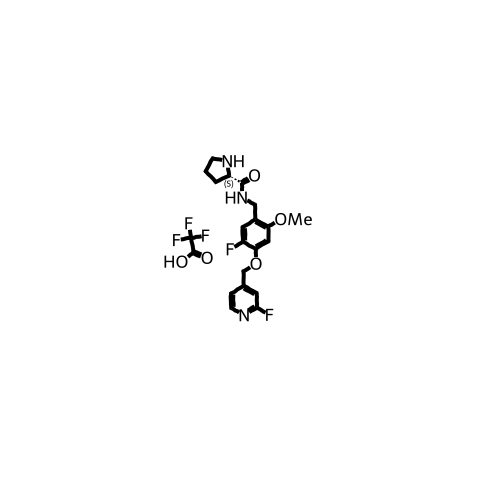 COc1cc(OCc2ccnc(F)c2)c(F)cc1CNC(=O)[C@@H]1CCCN1.O=C(O)C(F)(F)F